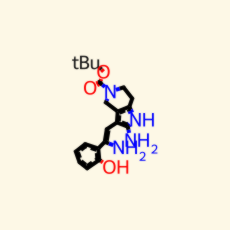 CC(C)(C)OC(=O)N1CCc2[nH]c(N)c(/C=C(\N)c3ccccc3O)c2C1